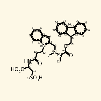 CN(Cc1cc2ccccc2n1CCC(=O)NC(CS(=O)(=O)O)C(=O)O)N(C)C(=O)OCC1c2ccccc2-c2ccccc21